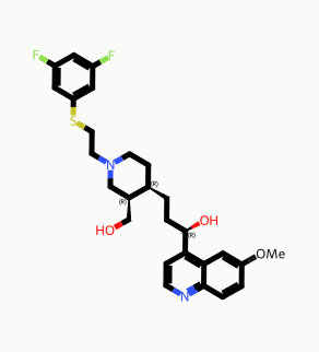 COc1ccc2nccc([C@H](O)CC[C@@H]3CCN(CCSc4cc(F)cc(F)c4)C[C@@H]3CO)c2c1